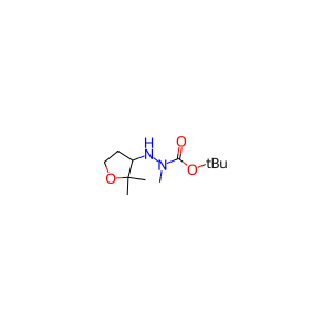 CN(NC1CCOC1(C)C)C(=O)OC(C)(C)C